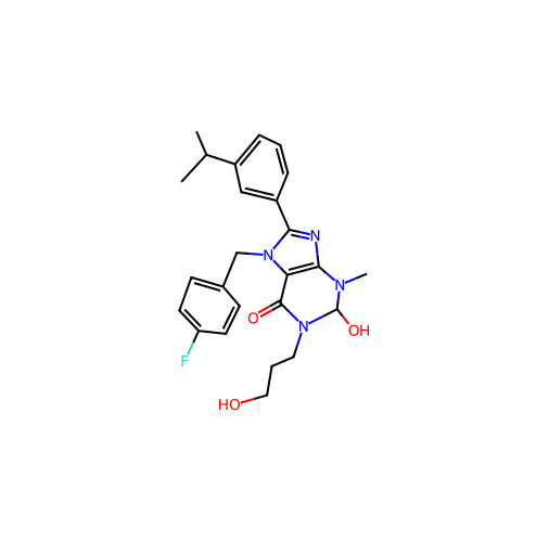 CC(C)c1cccc(-c2nc3c(n2Cc2ccc(F)cc2)C(=O)N(CCCO)C(O)N3C)c1